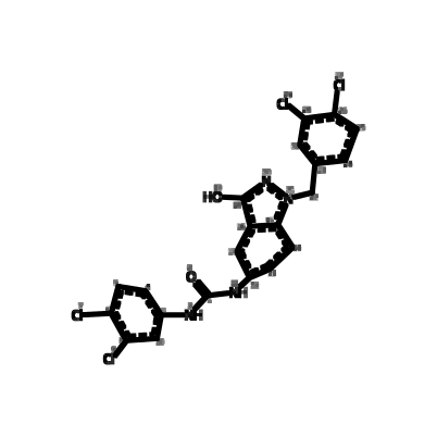 O=C(Nc1ccc(Cl)c(Cl)c1)Nc1ccc2c(c1)c(O)nn2Cc1ccc(Cl)c(Cl)c1